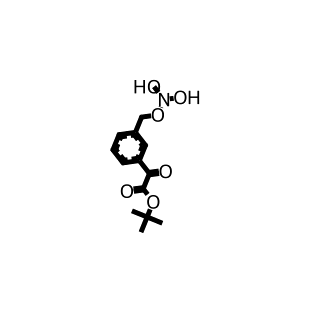 CC(C)(C)OC(=O)C(=O)c1cccc(CON(O)O)c1